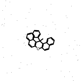 CC1(c2ccccc2)c2c(ccc3ccccc23)Oc2ccc3ccccc3c21